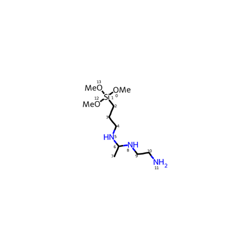 CO[Si](CCCNC(C)NCCN)(OC)OC